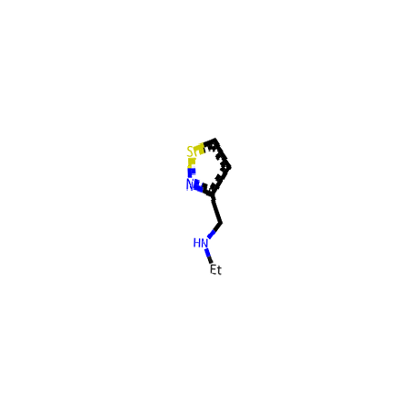 CCNCc1ccsn1